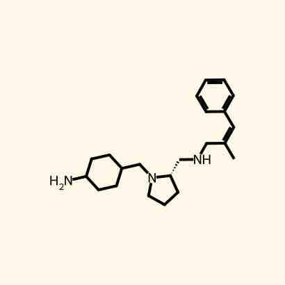 CC(=Cc1ccccc1)CNC[C@@H]1CCCN1CC1CCC(N)CC1